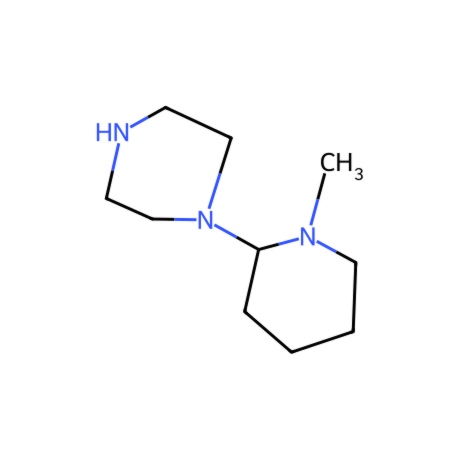 CN1CCCCC1N1CCNCC1